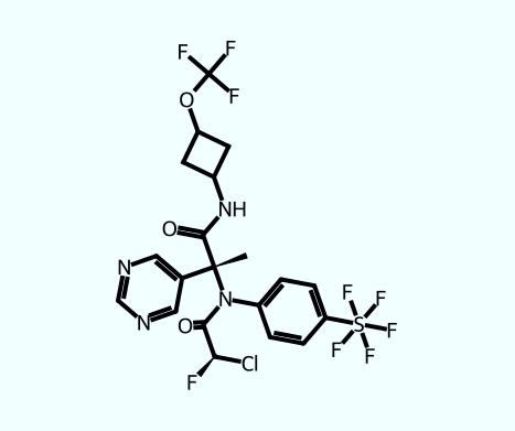 C[C@](C(=O)NC1CC(OC(F)(F)F)C1)(c1cncnc1)N(C(=O)[C@H](F)Cl)c1ccc(S(F)(F)(F)(F)F)cc1